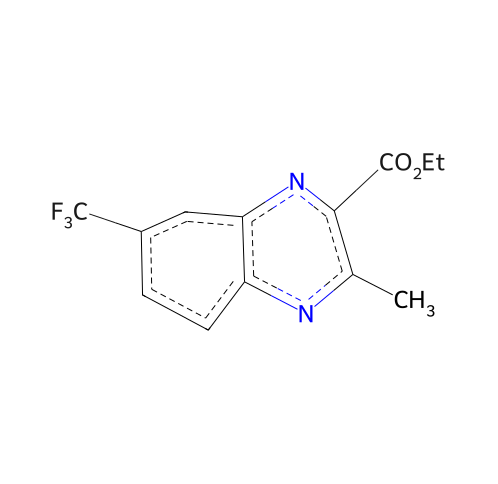 CCOC(=O)c1nc2cc(C(F)(F)F)ccc2nc1C